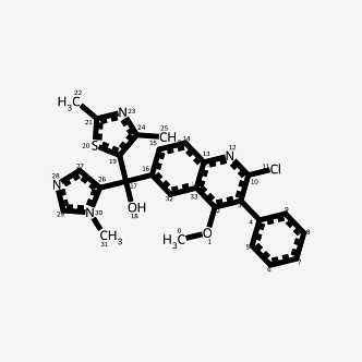 COc1c(-c2ccccc2)c(Cl)nc2ccc(C(O)(c3sc(C)nc3C)c3cncn3C)cc12